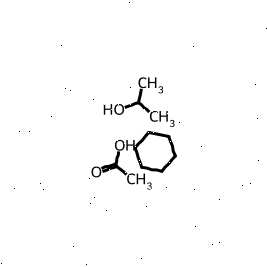 C1CCCCC1.CC(=O)O.CC(C)O